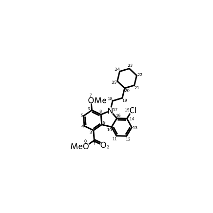 COC(=O)c1ccc(OC)c2c1c1cccc(Cl)c1n2CCC1CCCCC1